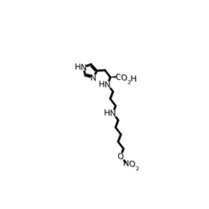 O=C(O)[C@H](Cc1c[nH]cn1)NCCCNCCCCCO[N+](=O)[O-]